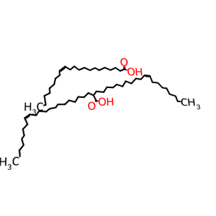 CCCCCCCC/C=C\CCCCCCCCCCCC(=O)O.CCCCCCCC/C=C\CCCCCCCCCCCCC(CCCCCCCCCC/C=C\CCCCCCCC)C(=O)O